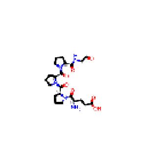 N[C@@H](CCC(=O)O)C(=O)N1CCC[C@H]1C(=O)N1CCC[C@H]1C(=O)N1CCC[C@H]1C(=O)NC[C]=O